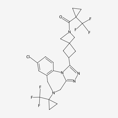 O=C(N1CC2(CC(c3nnc4n3-c3ccc(Cl)cc3CN(C3(C(F)(F)F)CC3)C4)C2)C1)C1(C(F)(F)F)CC1